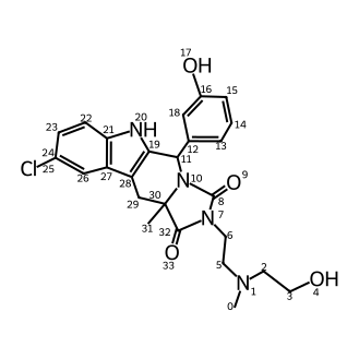 CN(CCO)CCN1C(=O)N2C(c3cccc(O)c3)c3[nH]c4ccc(Cl)cc4c3CC2(C)C1=O